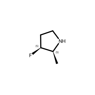 C[C@@H]1NCC[C@@H]1F